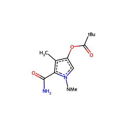 CNn1cc(OC(=O)C(C)(C)C)c(C)c1C(N)=O